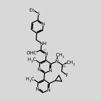 CCSc1ccc(CN/C(C=O)=N/c2c(C)nc(-c3c(C)ncnc3C3CC3)nc2N(C)[C@@H](C)CF)cn1